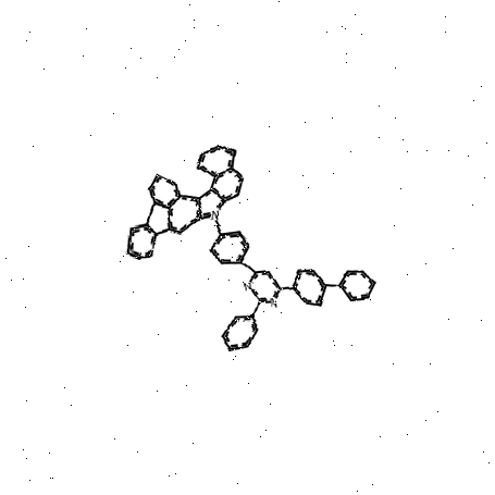 c1ccc(-c2ccc(-c3cc(-c4ccc(-n5c6ccc7ccccc7c6c6c7cccc8c7c(cc65)-c5ccccc5-8)cc4)nc(-c4ccccc4)n3)cc2)cc1